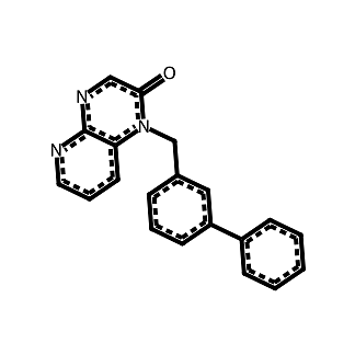 O=c1cnc2ncccc2n1Cc1cccc(-c2ccccc2)c1